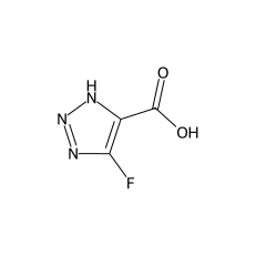 O=C(O)c1[nH]nnc1F